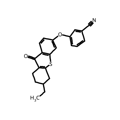 CCC1CCc2c(sc3cc(Oc4cccc(C#N)c4)ccc3c2=O)C1